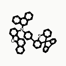 c1ccc2c(c1)Sc1c(-c3ccc(N(c4cc5ccccc5c5ccccc45)c4cccc5oc6c7ccccc7ccc6c45)cc3)cccc1C21c2ccccc2-c2ccccc21